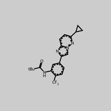 CC(C)(C)C(=O)Nc1cc(-c2cn3nc(C4CC4)ccc3n2)ccc1C(F)(F)F